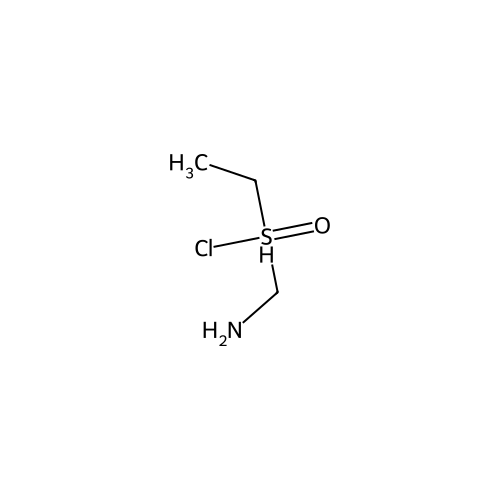 CC[SH](=O)(Cl)CN